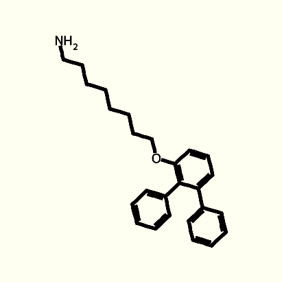 NCCCCCCCCOc1cccc(-c2ccccc2)c1-c1ccccc1